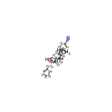 C[C@]12CC[C@H]3[C@@H](CC=C4C=C(C#N)CC[C@@]43C)[C@@H]1CC[C@@H]2C(=O)CCc1ccccc1